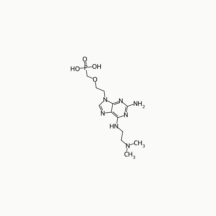 CN(C)CCNc1nc(N)nc2c1ncn2CCOCP(=O)(O)O